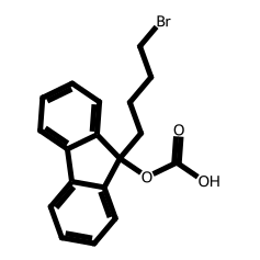 O=C(O)OC1(CCCCBr)c2ccccc2-c2ccccc21